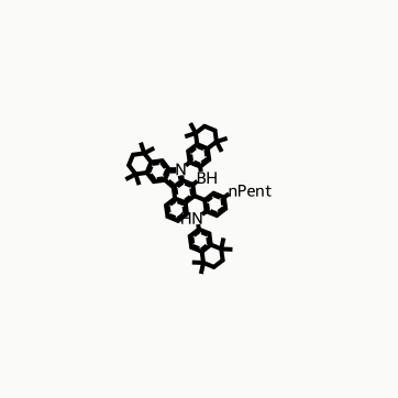 CCCCCc1ccc(Nc2ccc3c(c2)C(C)(C)CCC3(C)C)c(-c2c3c4c(c5ccccc25)c2cc5c(cc2n4-c2cc4c(cc2B3)C(C)(C)CCC4(C)C)C(C)(C)CCC5(C)C)c1